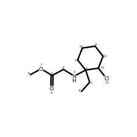 CCC1(NCC(=O)OC)CCCCC1Cl